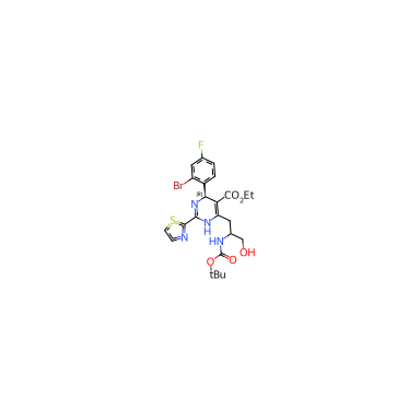 CCOC(=O)C1=C(CC(CO)NC(=O)OC(C)(C)C)NC(c2nccs2)=N[C@H]1c1ccc(F)cc1Br